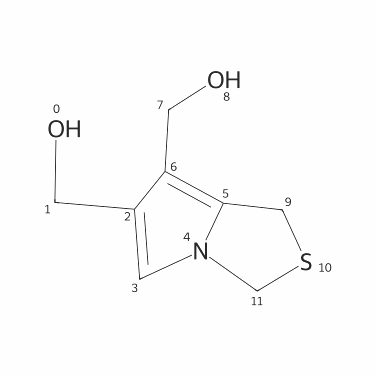 OCc1cn2c(c1CO)CSC2